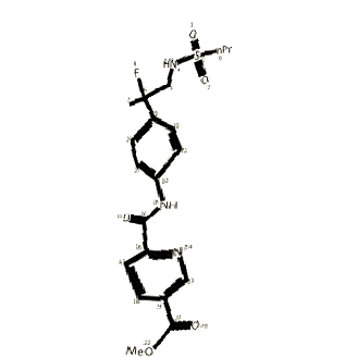 CCCS(=O)(=O)NCC(C)(F)c1ccc(NC(=O)c2ccc(C(=O)OC)cn2)cc1